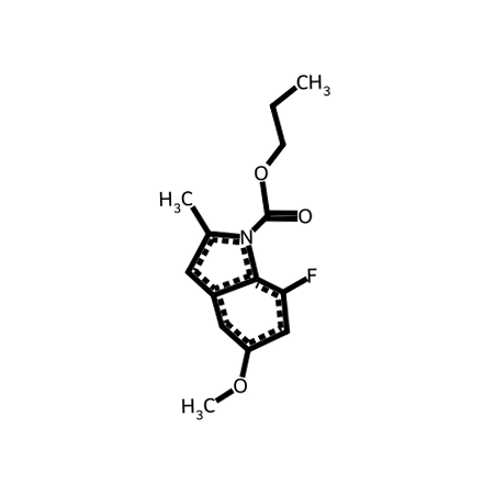 CCCOC(=O)n1c(C)cc2cc(OC)cc(F)c21